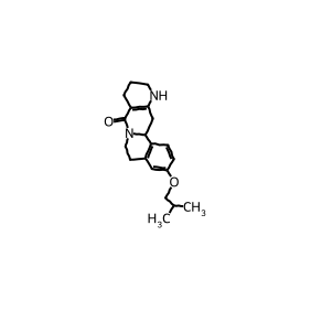 CC(C)COc1ccc2c(c1)CCN1C(=O)C3=C(CC21)NCCC3